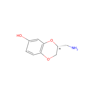 NC[C@@H]1COc2ccc(O)cc2O1